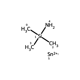 C[Si](C)(C)N.[Sn+2]